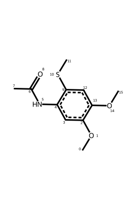 COc1cc(NC(C)=O)c(SC)cc1OC